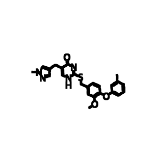 COc1cc(CSc2nc(=O)c(Cc3cnn(C)c3)c[nH]2)ccc1Oc1cccc(C)c1